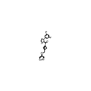 O=C(N1N=CCC1c1cc(F)cc(F)c1)C12CC(COc3cnoc3)(C1)C2